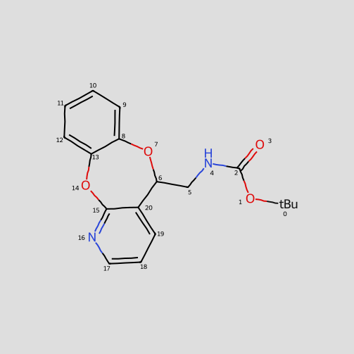 CC(C)(C)OC(=O)NCC1Oc2ccccc2Oc2ncccc21